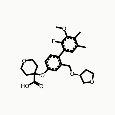 COc1c(C)c(C)cc(-c2ccc(OC3(C(=O)O)CCOCC3)cc2CO[C@H]2CCOC2)c1F